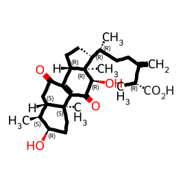 C=C(CC[C@@H](C)[C@H]1CC[C@H]2C3=C(C(=O)[C@H](O)[C@]12C)[C@@]1(C)CC[C@@H](O)[C@@H](C)[C@@H]1CC3=O)[C@@H](C)C(=O)O